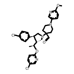 COc1ccc(N2CCC(C=O)(N3C[C@H]([C@H](C)Oc4ccc(Cl)cn4)[C@@H](c4ccc(Cl)cc4)C3)CC2)cn1